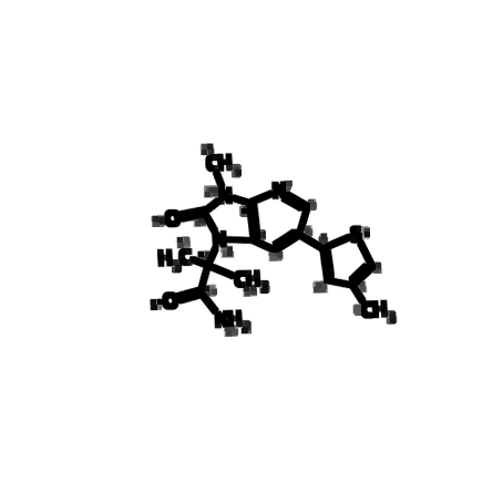 Cc1csc(-c2cnc3c(c2)n(C(C)(C)C(N)=O)c(=O)n3C)c1